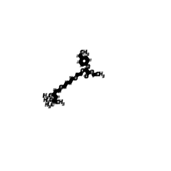 CCOC([O])C(OCCOCCCCOCCC(C)CC(C)(C)C)OC1CCC(CC)CC1